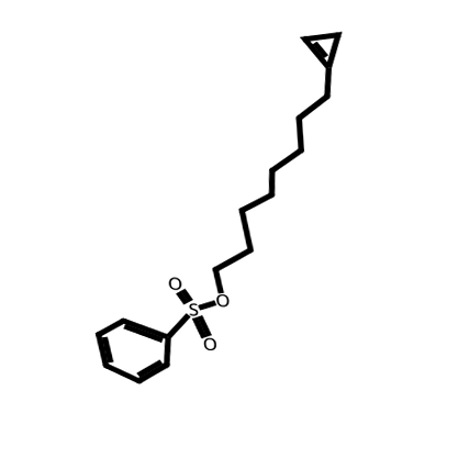 O=S(=O)(OCCCCCCCCC1=CC1)c1ccccc1